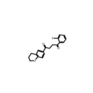 O=C(CCC(=O)c1ccccc1F)c1ccc2c(c1)CCCO2